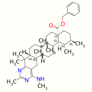 CNc1nc(C)nc2c1C[C@]1(C)[C@H]3CC=C4[C@@H]5[C@@H](C)[C@H](C)CC[C@]5(C(=O)OCc5ccccc5)CC[C@@]4(C)[C@]3(C)CC[C@H]1C2(C)C